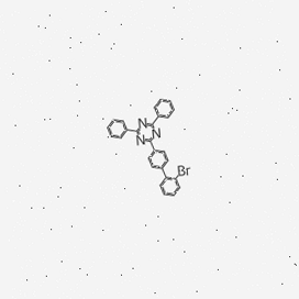 Brc1ccccc1-c1ccc(-c2nc(-c3ccccc3)nc(-c3ccccc3)n2)cc1